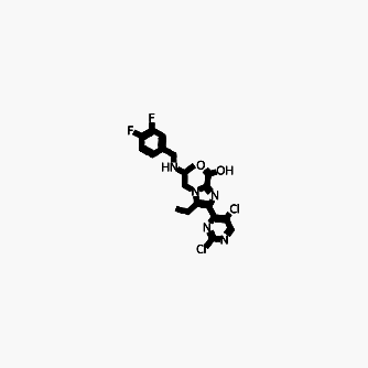 CCc1c(-c2nc(Cl)ncc2Cl)nc(C(=O)O)n1CC(C)NCc1ccc(F)c(F)c1